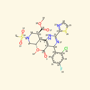 COC(=O)C1=C([C@H]2CCN(S(C)(=O)=O)C[C@H]2C(=O)OC)NC(c2nccs2)=NC1c1ccc(F)cc1Cl